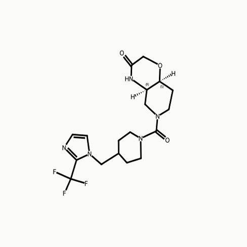 O=C1CO[C@H]2CCN(C(=O)N3CCC(Cn4ccnc4C(F)(F)F)CC3)C[C@H]2N1